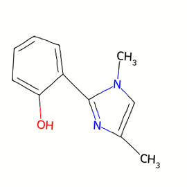 Cc1cn(C)c(-c2ccccc2O)n1